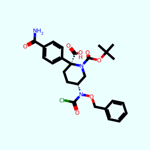 CC(C)(C)OC(=O)N1C[C@H](N(OCc2ccccc2)C(=O)Cl)CC[C@@]1(C(=O)O)c1ccc(C(N)=O)cc1